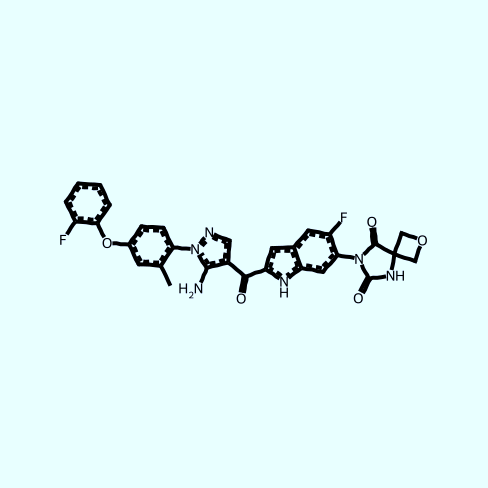 Cc1cc(Oc2ccccc2F)ccc1-n1ncc(C(=O)c2cc3cc(F)c(N4C(=O)NC5(COC5)C4=O)cc3[nH]2)c1N